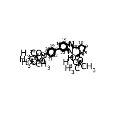 CC(C)(C)OC(=O)N1CCC[C@@H]1c1nc2ccc(-c3ccc(B4OC(C)(C)C(C)(C)O4)cc3)cc2[nH]1